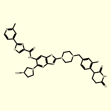 Cc1cc(-c2nc(C(=O)Nc3cc4oc(N5CCN(Cc6ccc(C7CCC(=O)NC7=O)c(F)c6)CC5)nc4nc3N3CC[C@@H](O)C3)co2)ccn1